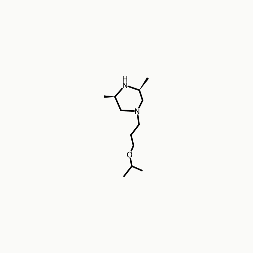 CC(C)OCCCN1C[C@@H](C)N[C@@H](C)C1